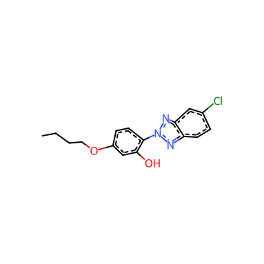 CCCCOc1ccc(-n2nc3ccc(Cl)cc3n2)c(O)c1